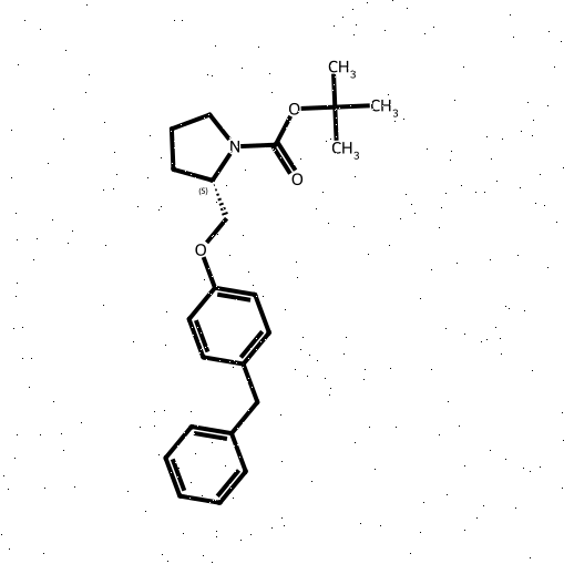 CC(C)(C)OC(=O)N1CCC[C@H]1COc1ccc(Cc2ccccc2)cc1